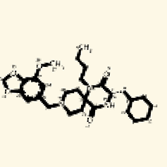 CCCCN1C(=O)[C@H](CC2CCCCC2)NC(=O)C12CCN(Cc1cc(OC)c3c(c1)OCO3)CC2